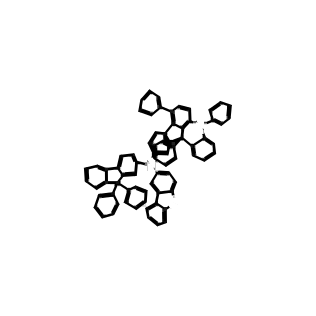 c1ccc(-c2ccc3c4c2-c2ccc(N(c5ccc6c(c5)C(c5ccccc5)(c5ccccc5)c5ccccc5-6)c5ccc6sc7ccccc7c6c5)cc2C4(c2ccccc2)c2ccccc2N3c2ccccc2)cc1